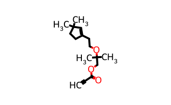 C#CC(=O)OCC(C)(C)OCCC1=CC(C)(C)CC1